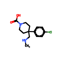 CNCC1(c2ccc(Cl)cc2)CCN(C(=O)O)CC1